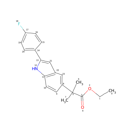 CCOC(=O)C(C)(C)c1ccc2[nH]c(-c3ccc(F)cc3)cc2c1